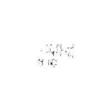 CCOc1nc(C)c2nc(-c3cncc(F)c3)n(Cc3cnn(C4CCN(C)C4)c3)c2n1